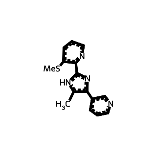 CSc1cccnc1-c1nc(-c2cccnc2)c(C)[nH]1